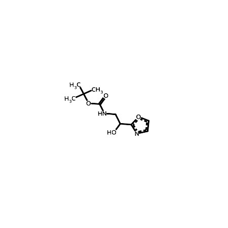 CC(C)(C)OC(=O)NCC(O)c1ncco1